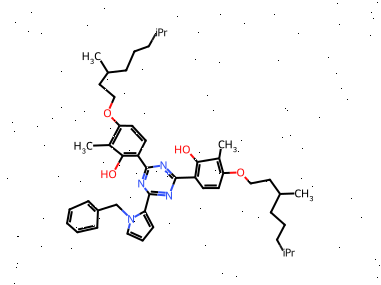 Cc1c(OCCC(C)CCCC(C)C)ccc(-c2nc(-c3ccc(OCCC(C)CCCC(C)C)c(C)c3O)nc(-c3cccn3Cc3ccccc3)n2)c1O